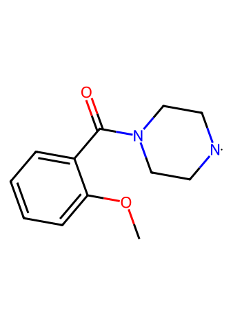 COc1ccccc1C(=O)N1CC[N]CC1